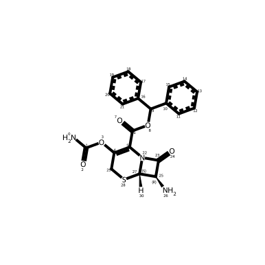 NC(=O)OC1=C(C(=O)OC(c2ccccc2)c2ccccc2)N2C(=O)[C@@H](N)[C@@H]2SC1